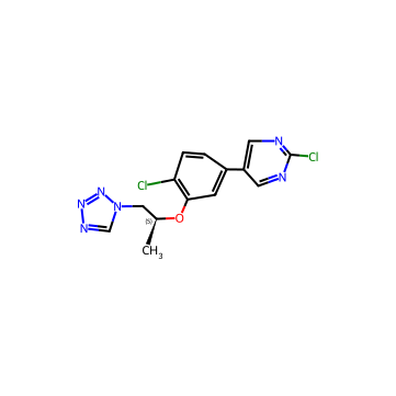 C[C@@H](Cn1cnnn1)Oc1cc(-c2cnc(Cl)nc2)ccc1Cl